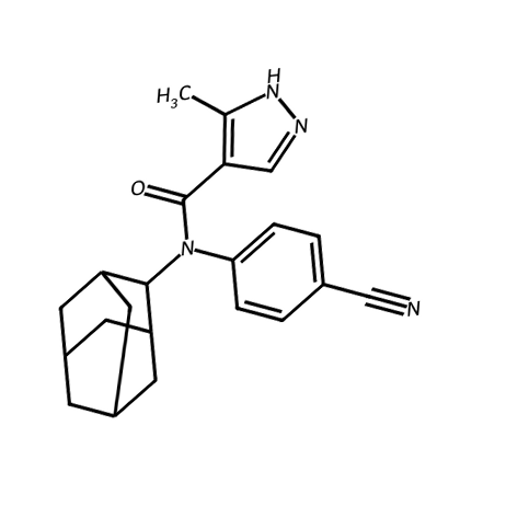 Cc1[nH]ncc1C(=O)N(c1ccc(C#N)cc1)C1C2CC3CC(C2)CC1C3